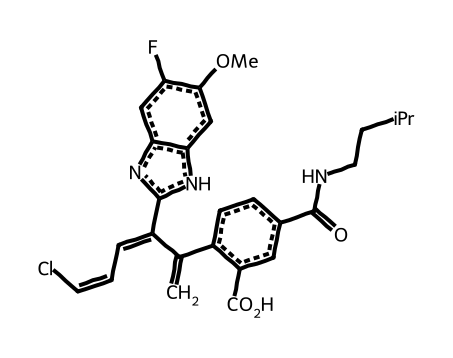 C=C(/C(=C\C=C/Cl)c1nc2cc(F)c(OC)cc2[nH]1)c1ccc(C(=O)NCCC(C)C)cc1C(=O)O